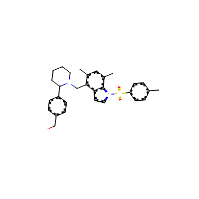 Cc1ccc(S(=O)(=O)n2ccc3c(CN4CCCCC4c4ccc(CO)cc4)c(C)cc(C)c32)cc1